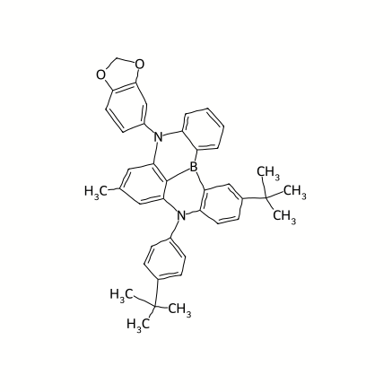 Cc1cc2c3c(c1)N(c1ccc(C(C)(C)C)cc1)c1ccc(C(C)(C)C)cc1B3c1ccccc1N2c1ccc2c(c1)OCO2